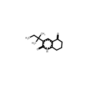 CCC(C)(C)c1cc2c([nH]c1=O)CCCC2=O